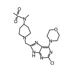 CN(C1CCN(Cc2nc3c(N4CCOCC4)nc(Cl)nc3[nH]2)CC1)S(C)(=O)=O